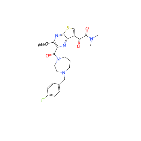 COc1nc2scc(C(=O)C(=O)N(C)C)c2nc1C(=O)N1CCCN(Cc2ccc(F)cc2)CC1